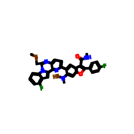 CNC(=O)c1c(-c2ccc(F)cc2)oc2cc(N(C)S)c(-c3ccc4nc(CSC)n5c6cccc(F)c6cc5c4n3)cc12